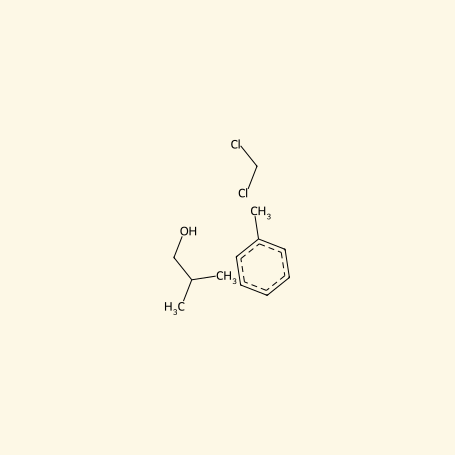 CC(C)CO.Cc1ccccc1.ClCCl